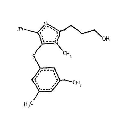 Cc1cc(C)cc(Sc2c(C(C)C)nc(CCCO)n2C)c1